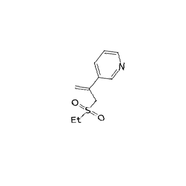 [CH2]CS(=O)(=O)CC(=C)c1cccnc1